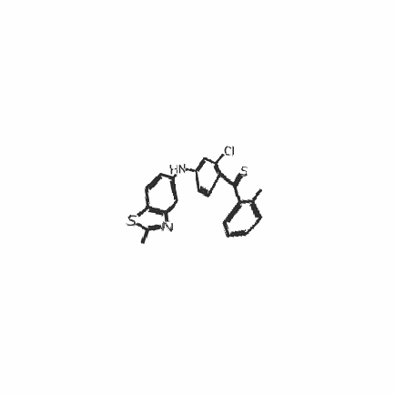 Cc1nc2cc(Nc3ccc(C(=S)c4ccccc4C)c(Cl)c3)ccc2s1